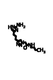 CCCCNC(=O)Cn1cc(CCCc2c[nH]c(N)n2)nn1